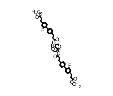 COC(=O)CCc1ccc(-c2ccc(CCC(=O)O[C@H]3CO[C@H]4[C@@H]3OC[C@H]4OC(=O)CCc3ccc(-c4ccc(CCC(=O)OC)cc4F)cc3)cc2)c(F)c1